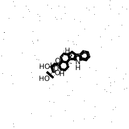 CC(C)(O)[C@H]1O[C@H]2CC[C@@]3(C)C4(OC4C[C@H]4Cc5c([nH]c6ccccc56)[C@@]43C)[C@]23O[C@@H]3[C@@H]1O